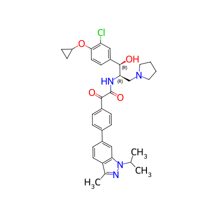 Cc1nn(C(C)C)c2cc(-c3ccc(C(=O)C(=O)N[C@H](CN4CCCC4)[C@H](O)c4ccc(OC5CC5)c(Cl)c4)cc3)ccc12